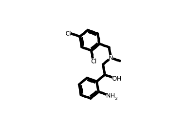 CN(Cc1ccc(Cl)cc1Cl)CC(O)c1ccccc1N